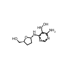 Nc1ncnc(N[C@H]2CC[C@@H](CO)O2)c1NO